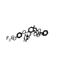 CON=C1[C@@H](Cn2cncn2)[C@H](COc2ccc(OC(F)(F)F)cc2)CCC1(C)CCOC(=O)c1ccccc1